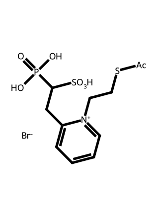 CC(=O)SCC[n+]1ccccc1CC(P(=O)(O)O)S(=O)(=O)O.[Br-]